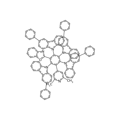 Cc1cc(-c2c(-n3c4ccccc4c4cc(-c5ccccc5)ccc43)c(-c3nc4ccccc4o3)c(-n3c4ccccc4c4cc(-c5ccccc5)ccc43)c(-n3c4ccccc4c4cc(-c5ccccc5)ccc43)c2-n2c3ccccc3c3cc(-c4ccccc4)ccc32)cc(C)n1